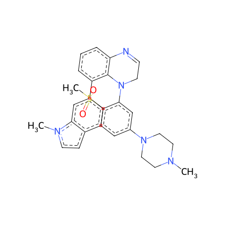 CN1CCN(c2ccc(S(C)(=O)=O)c(N3CC=Nc4cccc(-c5ccc6ccn(C)c6c5)c43)c2)CC1